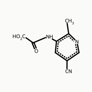 Cc1ncc(C#N)cc1NC(=O)C(=O)O